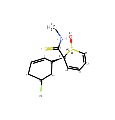 CNC(=S)[C@@]1(C2C=CCC(F)C2)C=CC=C[S@+]1[O-]